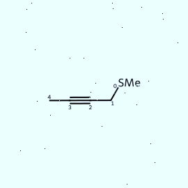 [CH2]SCC#CC